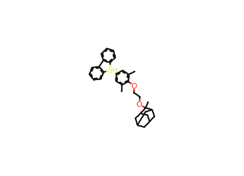 Cc1cc([SH]2c3ccccc3-c3ccccc32)cc(C)c1OCCOC1(C)C2CC3CC(C2)CC1C3